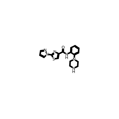 O=C(Nc1ccccc1N1CCNCC1)c1csc(-n2cccn2)n1